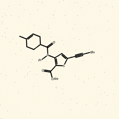 COC(=O)c1sc(C#CC(C)(C)C)cc1N(C(=O)C1CC=C(C)CC1)C(C)C